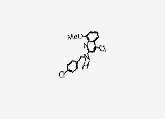 COc1cccc2c(Cl)cc(NCc3ccc(Cl)cc3)nc12